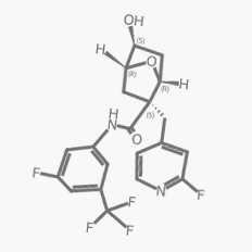 O=C(Nc1cc(F)cc(C(F)(F)F)c1)[C@@]1(Cc2ccnc(F)c2)C[C@H]2O[C@@H]1C[C@@H]2O